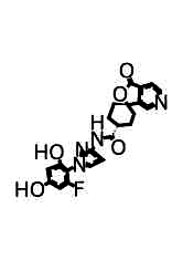 O=C1O[C@]2(CC[C@@H](C(=O)Nc3ccn(-c4c(O)cc(O)cc4F)n3)CC2)c2cnccc21